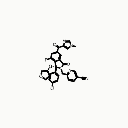 Cn1cnc(C(=O)c2cc(F)c3c(c2)C(=O)N(Cc2ccc(C#N)cn2)[C@@]3(O[C@H]2CCOC2)c2ccc(Cl)cc2)c1